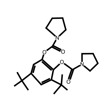 CC(C)(C)c1cc(OC(=O)N2CCCC2)c(OC(=O)N2CCCC2)c(C(C)(C)C)c1